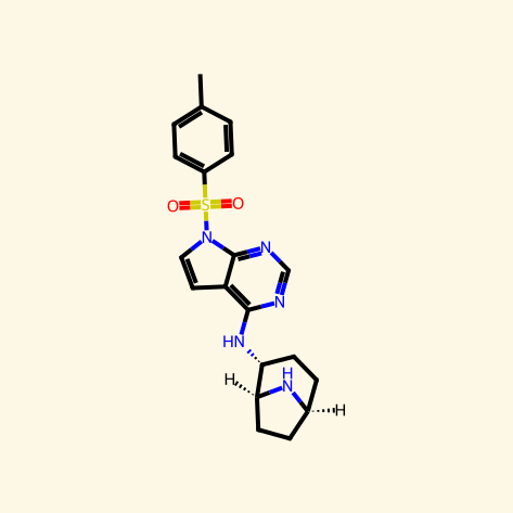 Cc1ccc(S(=O)(=O)n2ccc3c(N[C@@H]4CC[C@H]5CC[C@@H]4N5)ncnc32)cc1